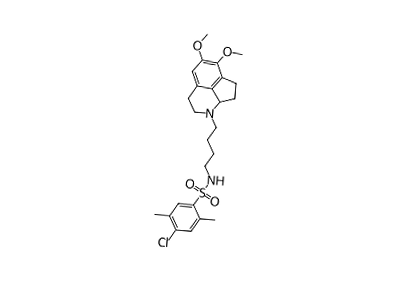 COc1cc2c3c(c1OC)CCC3N(CCCCNS(=O)(=O)c1cc(C)c(Cl)cc1C)CC2